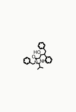 CC(C)C1N[C@@H]([C@H](O)[C](Cc2ccccc2)c2ccccc2)C(=O)N1Cc1ccccc1